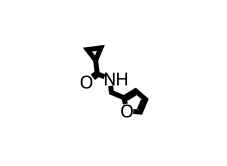 O=C(NCc1ccco1)C1CC1